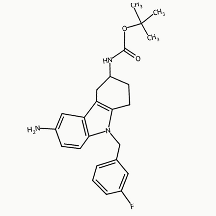 CC(C)(C)OC(=O)NC1CCc2c(c3cc(N)ccc3n2Cc2cccc(F)c2)C1